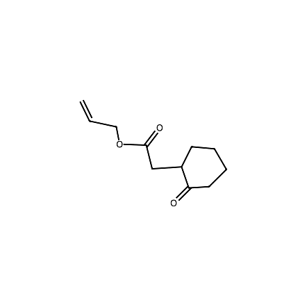 C=CCOC(=O)CC1CCCCC1=O